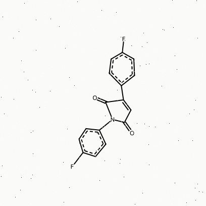 O=C1C=C(c2ccc(F)cc2)C(=O)N1c1ccc(F)cc1